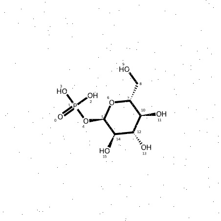 O=P(O)(O)O[C@H]1O[C@H](CO)[C@@H](O)[C@H](O)[C@H]1O